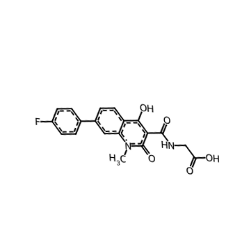 Cn1c(=O)c(C(=O)NCC(=O)O)c(O)c2ccc(-c3ccc(F)cc3)cc21